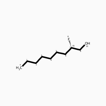 CCCCCCC[C@H](F)CO